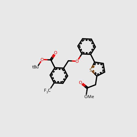 COC(=O)Cc1ccc(-c2ccccc2OCc2ccc(C(F)(F)F)cc2C(=O)OC(C)(C)C)s1